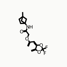 C=C(/C=C1/OC(F)(F)OC1=C)OCC(=O)NC12CCC(C)(C1)C2